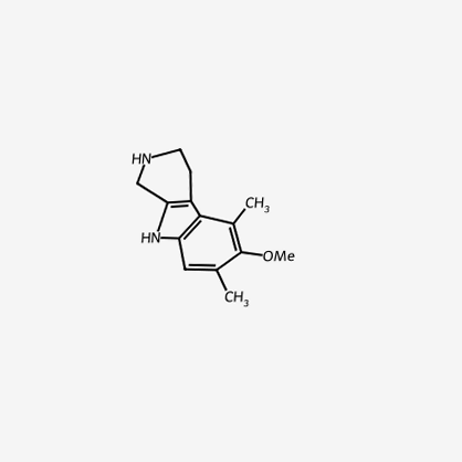 COc1c(C)cc2[nH]c3c(c2c1C)CCNC3